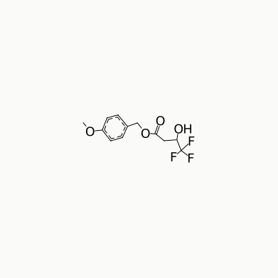 COc1ccc(COC(=O)CC(O)C(F)(F)F)cc1